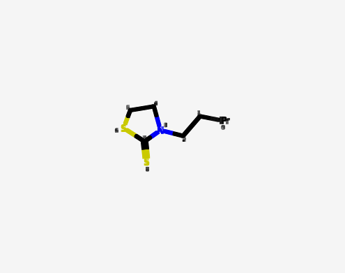 CC(C)CCN1CCSC1=S